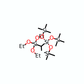 CCO[Si](OCC)(OCC)C(C)[Si](O[Si](C)(C)C)(O[Si](C)(C)C)O[Si](C)(C)C